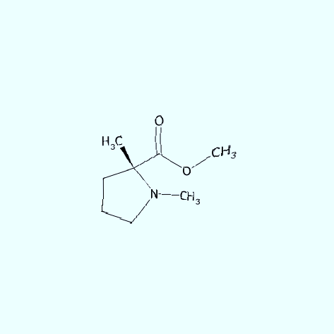 COC(=O)[C@@]1(C)CCCN1C